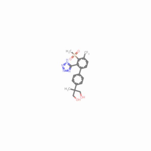 CC(CO)(CO)c1ccc(-c2ccc(C(F)(F)F)c(S(C)(=O)=O)c2-c2nnn[nH]2)cc1